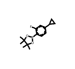 CC1(C)OB(c2ccc(C3CC3)cc2F)OC1(C)C